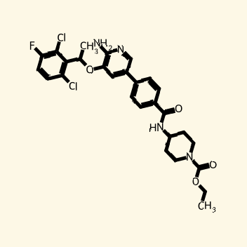 CCOC(=O)N1CCC(NC(=O)c2ccc(-c3cnc(N)c(OC(C)c4c(Cl)ccc(F)c4Cl)c3)cc2)CC1